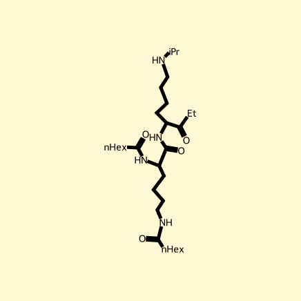 CCCCCCC(=O)NCCCCC(NC(=O)CCCCCC)C(=O)NC(CCCCNC(C)C)C(=O)CC